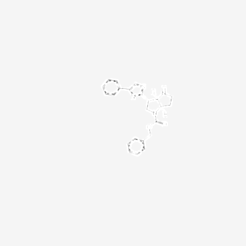 O=C(OCc1ccccc1)N1C[C@H](c2nc(-c3ccccc3)cs2)[C@H]2NCC[C@H]21